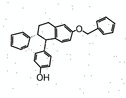 Oc1ccc(C2c3ccc(OCc4ccccc4)cc3CC[C@H]2c2ccccc2)cc1